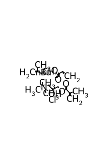 C=C(C)C(=O)OCC(O)C[N+](C)(C)C.C=CC(=C)C.C=CC(=O)OCCCC.[Cl-]